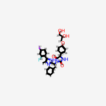 Cc1nc([C@H](Cc2ccccc2)N2C(=O)NC(c3ccc(OCC(O)CO)cc3)C2=O)[nH]c1-c1ccc(I)cc1F